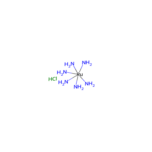 Cl.[NH2][Ru]([NH2])([NH2])([NH2])([NH2])[NH2]